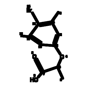 Cc1cc(OC(C)C(=O)O)cc(C)c1Br